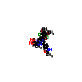 C=CC(=O)Nc1ccc(CCn2c(=O)c(-c3c(Cl)c(OC)cc(OC)c3Cl)cc3cnc(NC(C)(CO)CCO)nc32)cc1